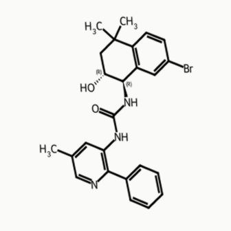 Cc1cnc(-c2ccccc2)c(NC(=O)N[C@@H]2c3cc(Br)ccc3C(C)(C)C[C@H]2O)c1